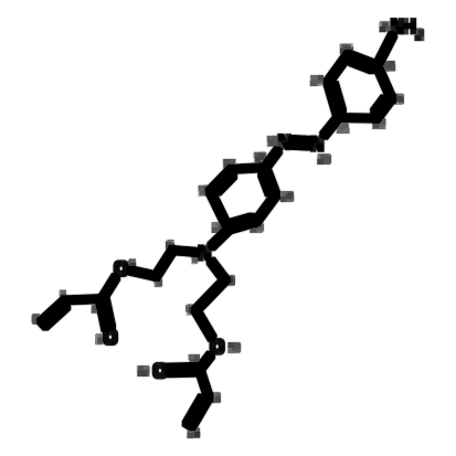 C=CC(=O)OCCN(CCOC(=O)C=C)c1ccc(/N=N/c2ccc(N)cc2)cc1